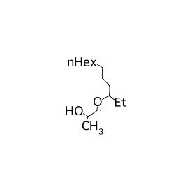 CCCCCCCCCC(CC)O[CH]C(C)O